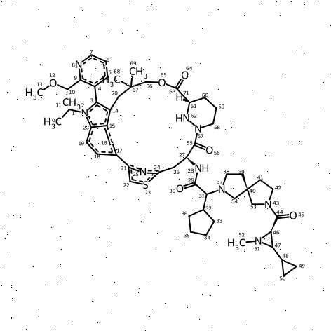 CCn1c(-c2cccnc2[C@H](C)OC)c2c3cc(ccc31)-c1csc(n1)C[C@H](NC(=O)C(C1CCCC1)N1CC[C@]3(CCN(C(=O)[C@H]4C(C5CC5)N4C)C3)C1)C(=O)N1CCC[C@H](N1)C(=O)OCC(C)(C)C2